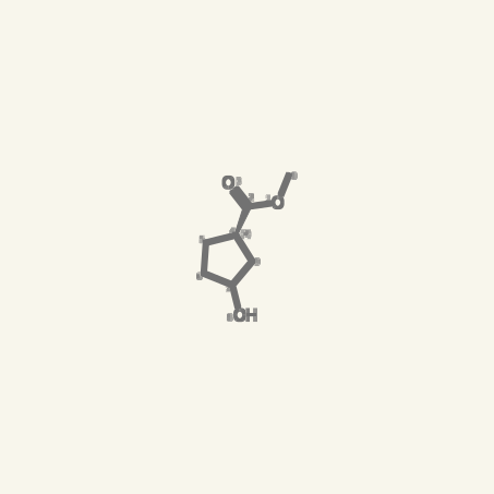 COC(=O)[C@@H]1CCC(O)C1